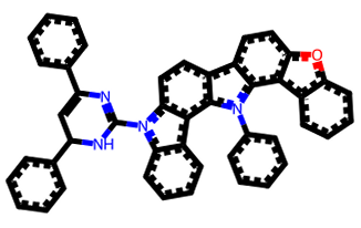 C1=C(c2ccccc2)N=C(n2c3ccccc3c3c2ccc2c4ccc5oc6ccccc6c5c4n(-c4ccccc4)c23)NC1c1ccccc1